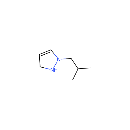 CC(C)CN1C=CCN1